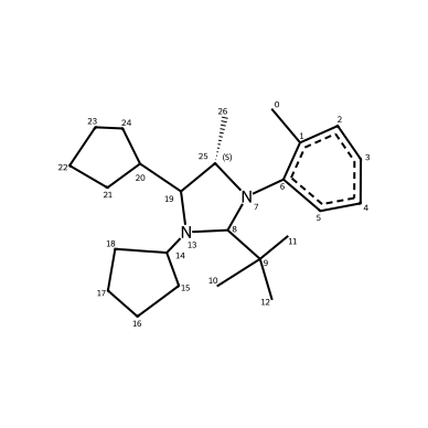 Cc1ccccc1N1C(C(C)(C)C)N(C2CCCC2)C(C2CCCC2)[C@@H]1C